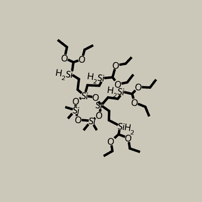 CCOC(OCC)[SiH2]CC[Si]1(CC[SiH2]C(OCC)OCC)O[Si](C)(C)O[Si](C)(C)O[Si](CC[SiH2]C(OCC)OCC)(CC[SiH2]C(OCC)OCC)O1